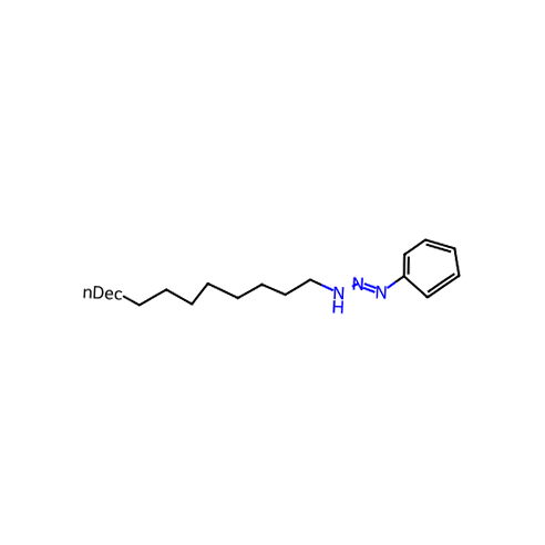 CCCCCCCCCCCCCCCCCCN/N=N/c1ccccc1